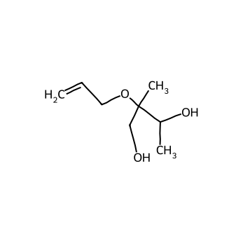 C=CCOC(C)(CO)C(C)O